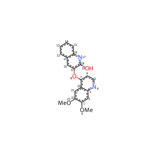 COc1cc2nccc(Oc3cc4ccccc4nc3O)c2cc1OC